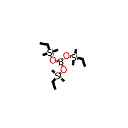 CC[Si](C)(C)OB(O[Si](C)(C)CC)O[Si](C)(C)CC